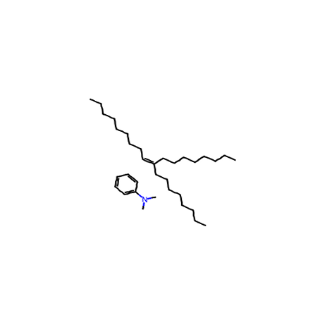 CCCCCCCCC=C(CCCCCCCC)CCCCCCCC.CN(C)c1ccccc1